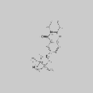 CC1(C)OB(c2ccc(F)c(C(=O)N3CCCCC3)c2)OC1(C)C